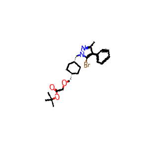 Cc1nn(C[C@H]2CC[C@@H](COCC(=O)OC(C)(C)C)CC2)c(Br)c1-c1ccccc1